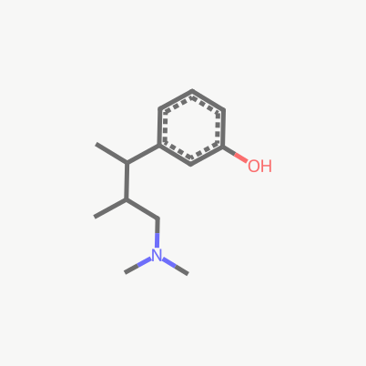 CC(CN(C)C)C(C)c1cccc(O)c1